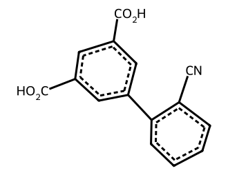 N#Cc1ccccc1-c1cc(C(=O)O)cc(C(=O)O)c1